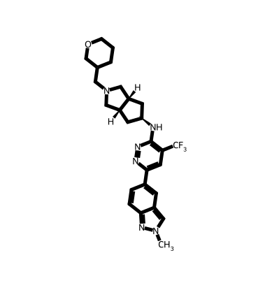 Cn1cc2cc(-c3cc(C(F)(F)F)c(N[C@H]4C[C@@H]5CN(CC6CCCOC6)C[C@@H]5C4)nn3)ccc2n1